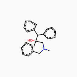 CN(Cc1ccccc1)CC(C)(O)C(c1ccccc1)c1ccccc1